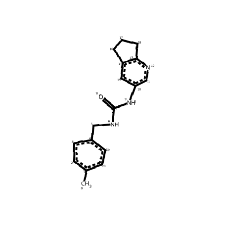 Cc1ccc(CNC(=O)Nc2cnc3c(c2)CCC3)cc1